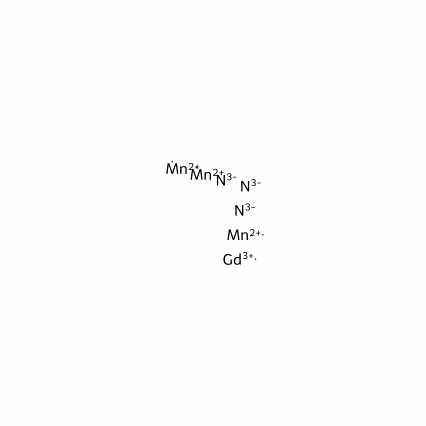 [Gd+3].[Mn+2].[Mn+2].[Mn+2].[N-3].[N-3].[N-3]